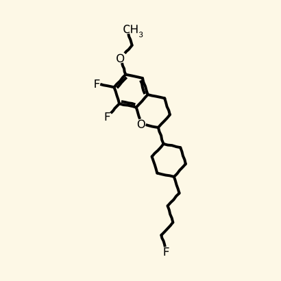 CCOc1cc2c(c(F)c1F)OC(C1CCC(CCCCF)CC1)CC2